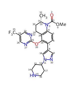 COC(=O)N1c2ccc(-c3cnn(C4CCNCC4)c3)c(Oc3ncc(C(F)(F)F)cn3)c2CC[C@@H]1C